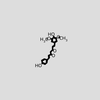 COc1cc(C=CC(=O)CC(=O)C=Cc2ccc(O)cc2)cc(OC)c1O